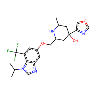 CC1CC(O)(c2cocn2)CC(COc2cc(C(F)(F)F)c3c(c2)ncn3C(C)C)N1